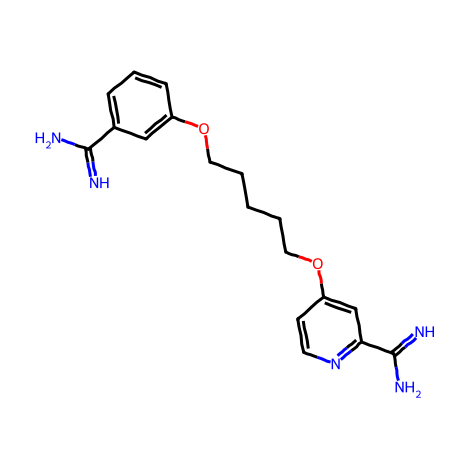 N=C(N)c1cccc(OCCCCCOc2ccnc(C(=N)N)c2)c1